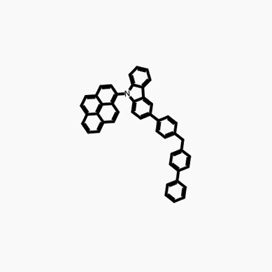 c1ccc(-c2ccc(Cc3ccc(-c4ccc5c(c4)c4ccccc4n5-c4ccc5ccc6cccc7ccc4c5c67)cc3)cc2)cc1